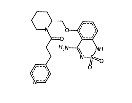 NC1=NS(=O)(=O)Nc2cccc(OC[C@H]3CCCCN3C(=O)CCc3ccncc3)c21